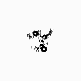 [N-]=[N+]=NC[C@@]1(F)C[C@@H](C(=O)Nc2cccc(OC(F)(F)F)c2)N(C(=O)Nc2cn(C(N)=O)c3ccccc23)C1